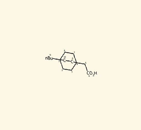 CCCCC12CCC(CC(=O)O)(CC1)CC2